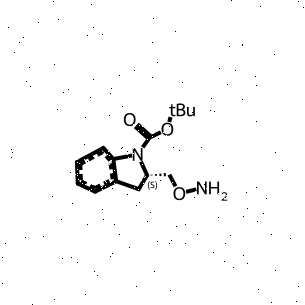 CC(C)(C)OC(=O)N1c2ccccc2C[C@H]1CON